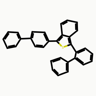 c1ccc(-c2ccc(-c3sc(-c4ccccc4-c4ccccc4)c4ccccc34)cc2)cc1